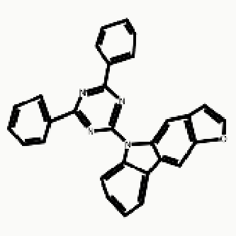 c1ccc(-c2nc(-c3ccccc3)nc(-n3c4ccccc4c4cc5occc5cc43)n2)cc1